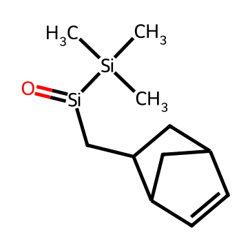 C[Si](C)(C)[Si](=O)CC1CC2C=CC1C2